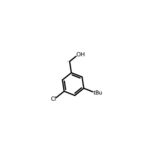 CC(C)(C)c1cc(Cl)cc([CH]O)c1